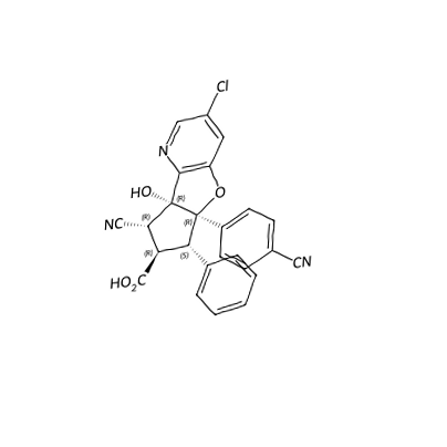 N#Cc1ccc([C@@]23Oc4cc(Cl)cnc4[C@]2(O)[C@@H](C#N)[C@H](C(=O)O)[C@H]3c2ccccc2)cc1